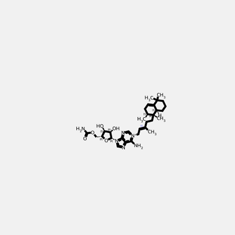 C/C(=C\C[n+]1cnc2c(ncn2[C@@H]2O[C@H](COC(N)=O)[C@@H](O)[C@H]2O)c1N)CC[C@@]1(C)[C@@H]2CCCC(C)(C)C2=CC[C@@H]1C